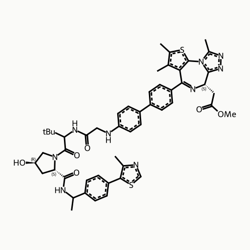 COC(=O)C[C@@H]1N=C(c2ccc(-c3ccc(NCC(=O)NC(C(=O)N4C[C@H](O)C[C@H]4C(=O)NC(C)c4ccc(-c5scnc5C)cc4)C(C)(C)C)cc3)cc2)c2c(sc(C)c2C)-n2c(C)nnc21